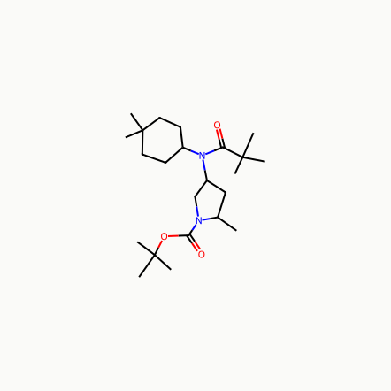 CC1CC(N(C(=O)C(C)(C)C)C2CCC(C)(C)CC2)CN1C(=O)OC(C)(C)C